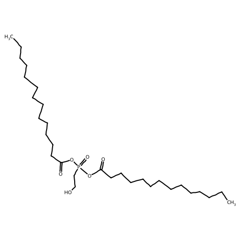 CCCCCCCCCCCCCC(=O)OP(=O)(CCO)OC(=O)CCCCCCCCCCCCC